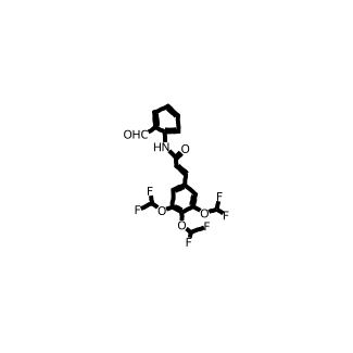 O=Cc1ccccc1NC(=O)/C=C/c1cc(OC(F)F)c(OC(F)F)c(OC(F)F)c1